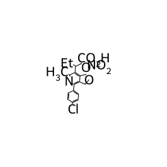 CCC(c1c(C)nc(-c2ccc(Cl)cc2)c2c1COC2)C(O[N+](=O)[O-])C(=O)O